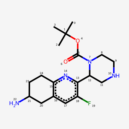 CC(C)(C)OC(=O)N1CCNCC1c1nc2c(cc1F)CC(N)CC2